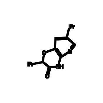 CC(C)c1cnc2c(c1)OC(C(C)C)C(=O)N2